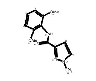 COc1cccc(OC)c1NC(=S)c1ccn(C)n1